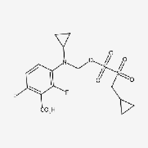 O=C(O)c1c(F)ccc(N(COS(=O)(=O)S(=O)(=O)CC2CC2)C2CC2)c1F